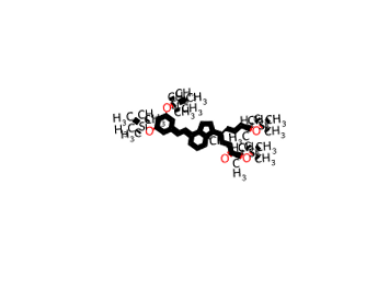 CC(C)(CCC[C@@H](CCC(=O)C(C)(C)O[Si](C)(C)C)C1CCC2/C(=C/C=C3C[C@@H](O[Si](C)(C)C(C)(C)C)C[C@H](O[Si](C)(C)C(C)(C)C)C3)CCC[C@@]21C)O[Si](C)(C)C